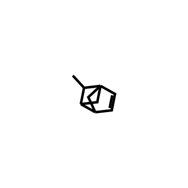 CC1C2CC13C=CC2C3